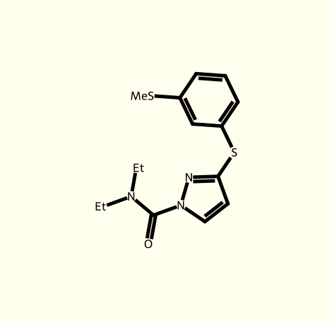 CCN(CC)C(=O)n1ccc(Sc2cccc(SC)c2)n1